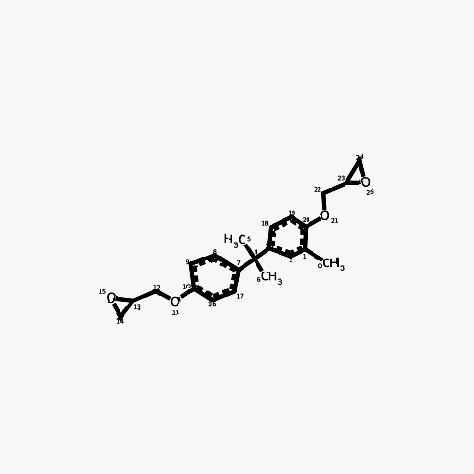 Cc1cc(C(C)(C)c2ccc(OCC3CO3)cc2)ccc1OCC1CO1